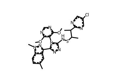 COc1ncnc(OC)c1-n1c(NSC(C)C(C)c2ncc(Cl)cn2)nnc1-c1nn(C)c2ccc(C)cc12